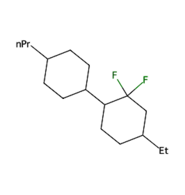 CCCC1CCC(C2CCC(CC)CC2(F)F)CC1